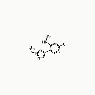 CC(C)Nc1cc(Cl)ncc1-c1cnn(CC(F)(F)F)c1